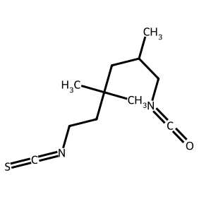 CC(CN=C=O)CC(C)(C)CCN=C=S